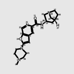 CN1CCN(c2cc3cc(C(=O)N[C@@H]4C[C@H]5CCN(C5)C4)ncc3o2)CC1